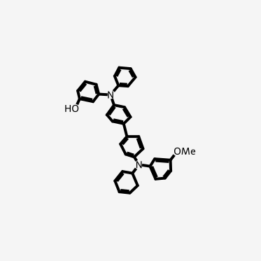 COc1cccc(N(c2ccc(-c3ccc(N(c4ccccc4)c4cccc(O)c4)cc3)cc2)C2C=CC=CC2)c1